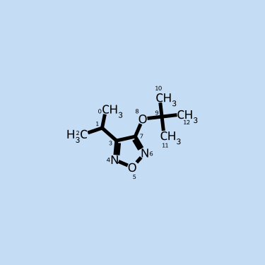 CC(C)c1nonc1OC(C)(C)C